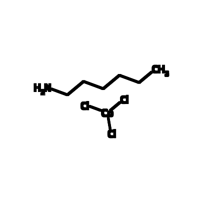 CCCCCCN.[Cl][Co]([Cl])[Cl]